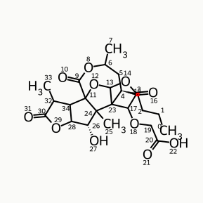 CCCC[C@@H]1CC(C)OC(=O)C23OC4OC(=O)C(OCC(=O)O)C41C2(C)[C@H](O)C1OC(=O)C(C)C13